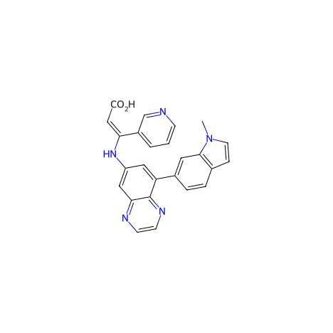 Cn1ccc2ccc(-c3cc(NC(=CC(=O)O)c4cccnc4)cc4nccnc34)cc21